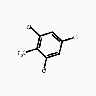 FC(F)(F)c1c(Cl)[c]c(Cl)cc1Cl